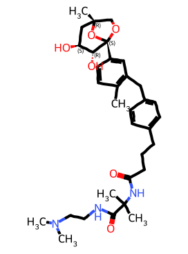 Cc1ccc([C@@]23OC[C@@](C)(C[C@H](O)[C@H]2O)O3)cc1Cc1ccc(CCCC(=O)NC(C)(C)C(=O)NCCN(C)C)cc1